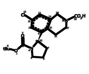 CC(C)(C)OC(=O)N1CCC[C@H]1c1cc(Cl)cc2c1CCN(C(=O)O)C2